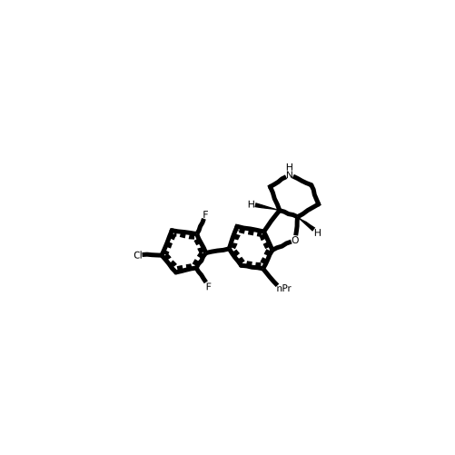 CCCc1cc(-c2c(F)cc(Cl)cc2F)cc2c1O[C@H]1CCNC[C@@H]21